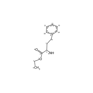 CCOC(=O)C([NH])CCc1ccccc1